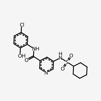 O=C(Nc1cc(Cl)ccc1O)c1cncc(NS(=O)(=O)C2CCCCC2)c1